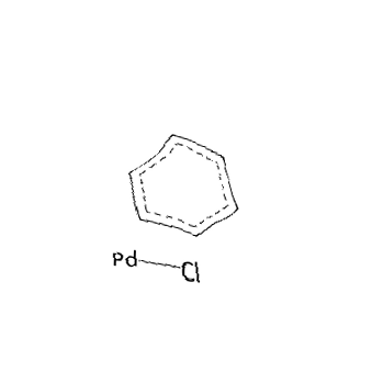 [Cl][Pd].c1ccccc1